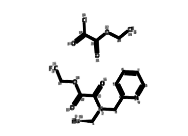 CC[C@H](C)CN(Cc1ccccn1)C(=O)C(=O)OCC(F)(F)F.O=C(Cl)C(=O)OCC(F)(F)F